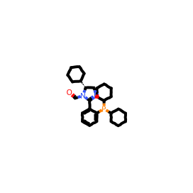 O=CN1C(c2ccccc2P(C2CCCCC2)C2CCCCC2)=NC[C@H]1C1CCCCC1